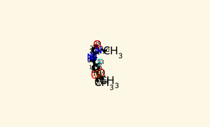 CCCn1cc(-n2cc(-c3ccc(S(=O)(=O)C(CC)CC)cc3F)cn2)ccc1=O